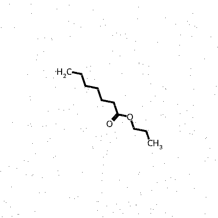 [CH2]CCCCCC(=O)OCCC